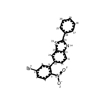 O=[N+]([O-])c1ccc(Br)cc1-c1ccc2nc(-c3ccccc3)sc2c1